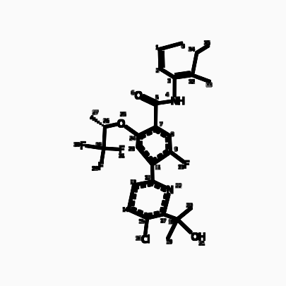 C/C=C\C(NC(=O)c1cc(F)c(-c2ccc(Cl)c(C(C)(C)O)n2)cc1O[C@@H](C)C(F)(F)F)=C(\C)CC